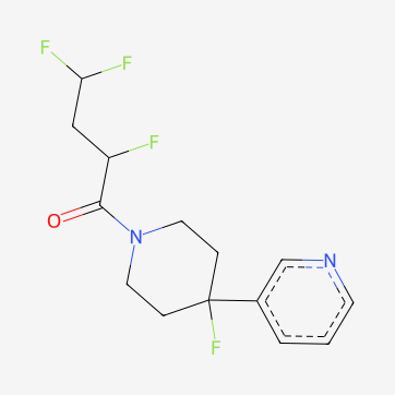 O=C(C(F)CC(F)F)N1CCC(F)(c2cccnc2)CC1